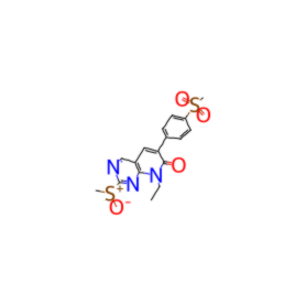 CCn1c(=O)c(-c2ccc(S(C)(=O)=O)cc2)cc2cnc([S+](C)[O-])nc21